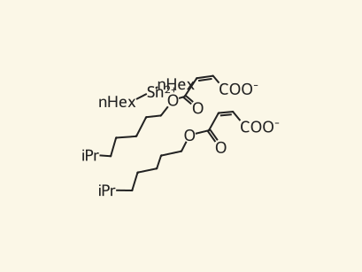 CC(C)CCCCCOC(=O)/C=C\C(=O)[O-].CC(C)CCCCCOC(=O)/C=C\C(=O)[O-].CCCCC[CH2][Sn+2][CH2]CCCCC